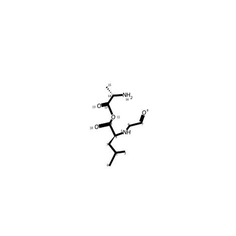 CC(C)C[C@H](NCC=O)C(=O)OC(=O)[C@H](C)N